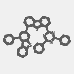 c1ccc(-c2nc(-c3ccccc3)nc(-c3cccc4c3sc3c(-c5cc(-c6ccccc6)c6c(c5)sc5ccccc56)cccc34)n2)cc1